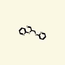 S=CC(CSc1ccccn1)Sc1ccccn1